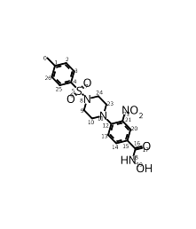 Cc1ccc(S(=O)(=O)N2CCN(c3ccc(C(=O)NO)cc3[N+](=O)[O-])CC2)cc1